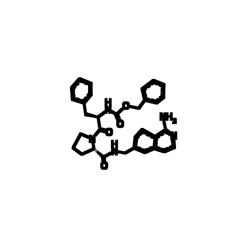 Nc1nccc2cc(CNC(=O)[C@@H]3CCCN3C(=O)[C@@H](Cc3ccccc3)NC(=O)OCc3ccccc3)ccc12